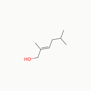 C/C(=C\CC(C)C)CO